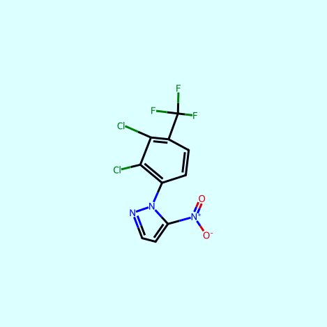 O=[N+]([O-])c1ccnn1-c1ccc(C(F)(F)F)c(Cl)c1Cl